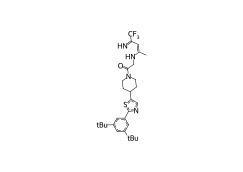 C/C(=C/C(=N)C(F)(F)F)NCC(=O)N1CCC(c2cnc(-c3cc(C(C)(C)C)cc(C(C)(C)C)c3)s2)CC1